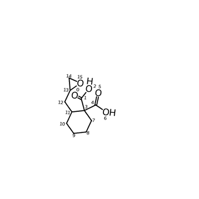 O=C(O)C1(C(=O)O)CCCCC1CC1CO1